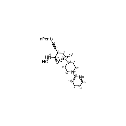 CCCCCC#CC(CS(=O)(=O)N1CCN(c2ncccn2)CC1)C(=O)NO